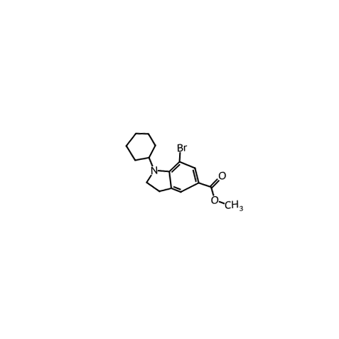 COC(=O)c1cc(Br)c2c(c1)CCN2C1CCCCC1